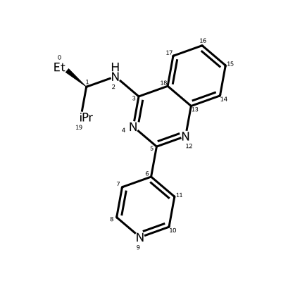 CC[C@@H](Nc1nc(-c2ccncc2)nc2ccccc12)C(C)C